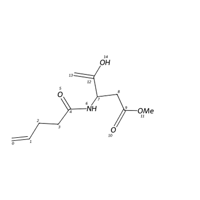 C=CCCC(=O)NC(CC(=O)OC)C(=C)O